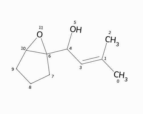 CC(C)=CC(O)C12CCCC1O2